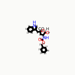 O=C(N[C@@H]1C[C@@](Cc2c[nH]c3ccccc23)(C(=O)O)OC1=O)OCc1ccccc1